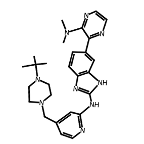 CN(C)c1nccnc1-c1ccc2nc(Nc3cc(CN4CCN(C(C)(C)C)CC4)ccn3)[nH]c2c1